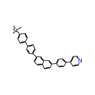 C[Si](C)(C)c1ccc(-c2ccc(-c3ccc4ccc(-c5ccc(-c6ccncc6)cc5)cc4c3)cc2)cc1